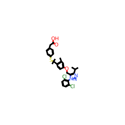 Cc1cc(OCc2c(C(C)C)nnn2-c2c(Cl)cccc2Cl)ccc1C(C)(C)Sc1ccc(CC(=O)O)cc1